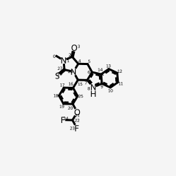 CN1C(=O)C2Cc3c([nH]c4ccccc34)C(c3cccc(OC(F)F)c3)N2C1=S